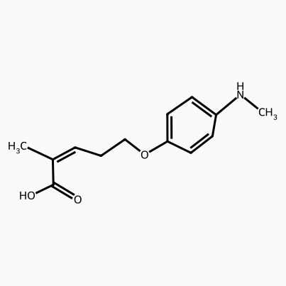 CNc1ccc(OCCC=C(C)C(=O)O)cc1